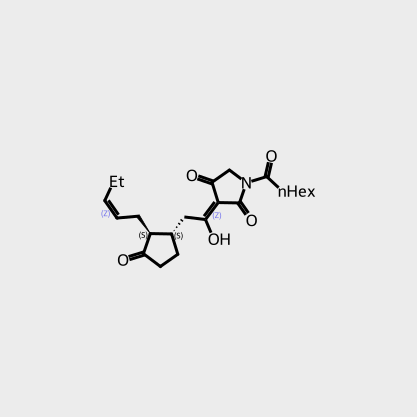 CC/C=C\C[C@@H]1C(=O)CC[C@H]1C/C(O)=C1\C(=O)CN(C(=O)CCCCCC)C1=O